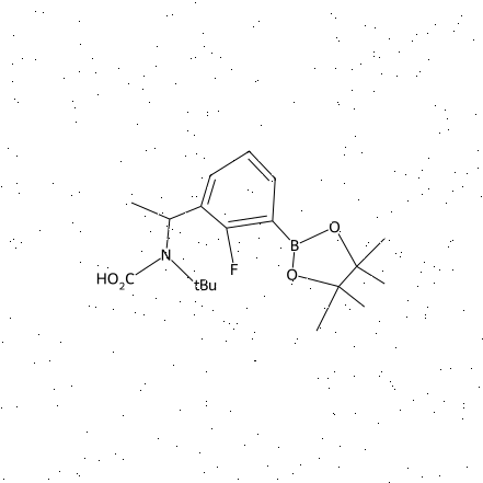 CC(c1cccc(B2OC(C)(C)C(C)(C)O2)c1F)N(C(=O)O)C(C)(C)C